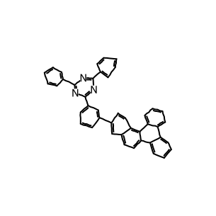 c1ccc(-c2nc(-c3ccccc3)nc(-c3cccc(-c4ccc5c(ccc6c7ccccc7c7ccccc7c56)c4)c3)n2)cc1